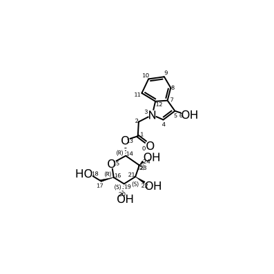 O=C(Cn1cc(O)c2ccccc21)O[C@H]1O[C@H](CO)[C@@H](O)[C@H](O)[C@@H]1O